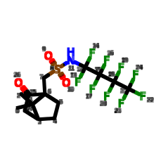 CC1(C)C2CCC1(CS(=O)(=O)NC(F)(F)C(F)(F)C(F)(F)C(F)(F)F)C(=O)C2